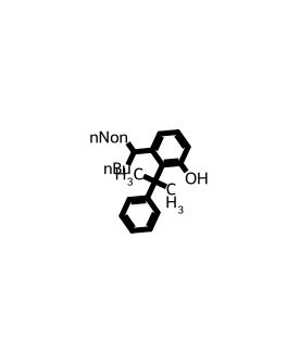 CCCCCCCCCC(CCCC)c1cccc(O)c1C(C)(C)c1ccccc1